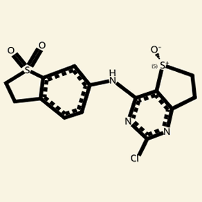 O=S1(=O)CCc2ccc(Nc3nc(Cl)nc4c3[S@+]([O-])CC4)cc21